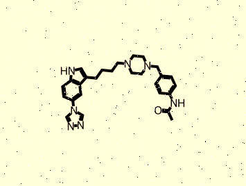 CC(=O)Nc1ccc(CN2CCN(CCCCc3c[nH]c4ccc(-n5cnnc5)cc34)CC2)cc1